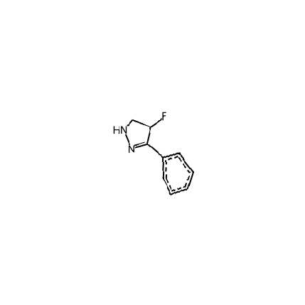 FC1CNN=C1c1ccccc1